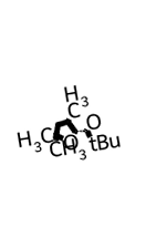 CC1CC(C)(C)O[C@H]1C(=O)C(C)(C)C